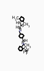 C/C(=N\Nc1ccc(/C=N/NC(=S)Nc2c(C)cccc2C)cc1)c1ccccc1OC(F)(F)F